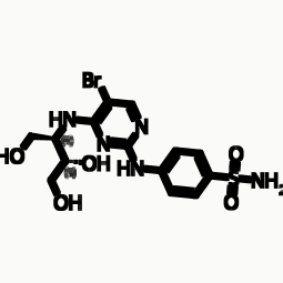 NS(=O)(=O)c1ccc(Nc2ncc(Br)c(N[C@H](CO)[C@H](O)CO)n2)cc1